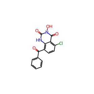 O=C(c1ccccc1)c1ccc(Cl)c2c(=O)n(O)c(=O)[nH]c12